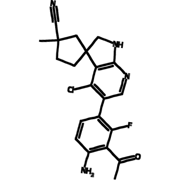 CC(=O)c1c(N)ccc(-c2cnc3c(c2Cl)C2(CCC(C)(C#N)C2)CN3)c1F